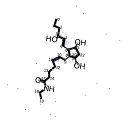 CCC[C@@H](O)/C=C/[C@@H]1[C@H](C/C=C\CCCC(=O)NCC)[C@H](O)C[C@@H]1O